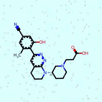 Cc1cc(C#N)cc(O)c1-c1cc2c(nn1)N([C@H]1CCCN(CCC(=O)O)C1)CCC2